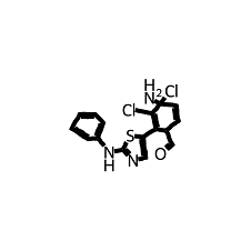 NC1(Cl)C=CC(C=O)C(c2cnc(Nc3ccccc3)s2)=C1Cl